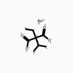 CCC(C(=O)[O-])(C(=O)[O-])C(C)C.[Ba+2]